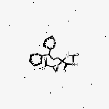 O=C1NC(=O)C(CCC(c2ccccc2)c2ccccc2)(C2CC2C(=O)O)N1